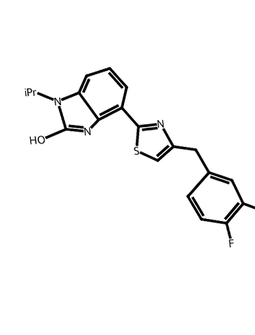 CC(C)n1c(O)nc2c(-c3nc(Cc4ccc(F)c(F)c4)cs3)cccc21